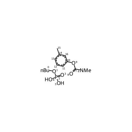 CCCCOP(=O)(O)O.CNC(=O)Oc1cccc(C)c1